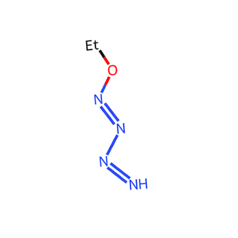 CCON=NN=N